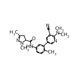 CC1=NN(C)C(C(=O)Nc2ccc(C)c(-c3cnc(N(C)C)c(C#N)c3)c2)C1